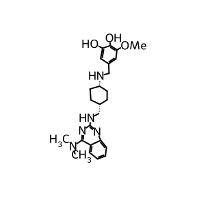 COc1cc(CN[C@H]2CC[C@@H](CNc3nc(N(C)C)c4ccccc4n3)CC2)cc(O)c1O